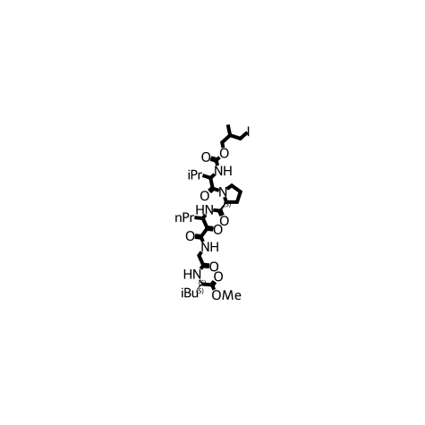 CCCC(NC(=O)[C@@H]1CCCN1C(=O)C(NC(=O)OCC(C)CI)C(C)C)C(=O)C(=O)NCC(=O)N[C@H](C(=O)OC)[C@@H](C)CC